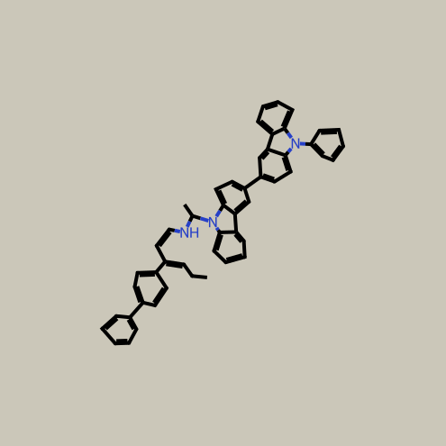 CC/C=C(/C=C\NC(C)n1c2ccccc2c2cc(-c3ccc4c(c3)c3ccccc3n4-c3ccccc3)ccc21)c1ccc(-c2ccccc2)cc1